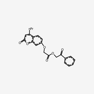 CCCc1cc(=O)oc2cc(OCC(=O)OCC(=O)c3ccccc3)ccc12